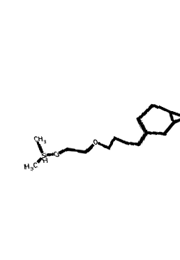 C[SiH](C)OCCOCCCC1CCC2OC2C1